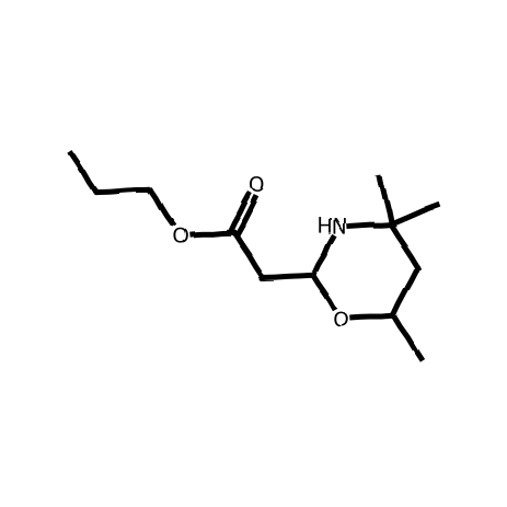 CCCOC(=O)CC1NC(C)(C)CC(C)O1